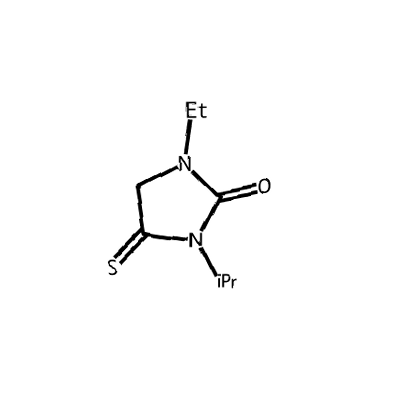 CCN1CC(=S)N(C(C)C)C1=O